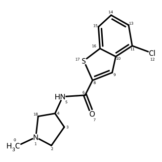 CN1CCC(NC(=O)c2cc3c(Cl)cccc3s2)C1